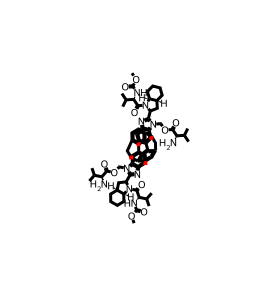 COC(=O)N[C@H](C(=O)N1C(c2nc3ccc(-c4cc5ccc4CCc4ccc(c(-c6ccc7nc(C8C[C@@H]9CCCC[C@@H]9N8C(=O)[C@@H](NC(=O)OC)C(C)C)n(COC(=O)[C@@H](N)C(C)C)c7c6)c4)CC5)cc3n2COC(=O)[C@@H](N)C(C)C)C[C@@H]2CCCC[C@@H]21)C(C)C